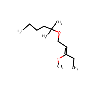 CCCCC(C)(C)OC/C=C(/CC)OC